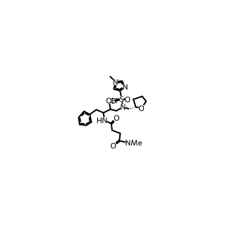 CNC(=O)CCC(=O)NC(Cc1ccccc1)C(O)CN(C[C@@H]1CCCO1)S(=O)(=O)c1cn(C)cn1